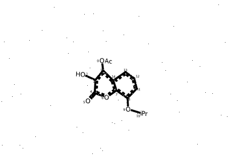 CC(=O)Oc1c(O)c(=O)oc2c(OC(C)C)cccc12